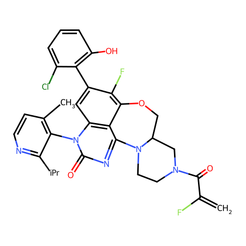 C=C(F)C(=O)N1CCN2c3nc(=O)n(-c4c(C)ccnc4C(C)C)c4cc(-c5c(O)cccc5Cl)c(F)c(c34)OCC2C1